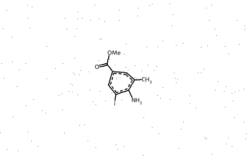 COC(=O)c1cc(C)c(N)c(I)c1